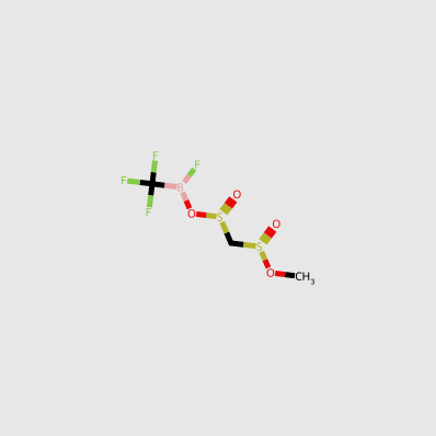 COS(=O)CS(=O)OB(F)C(F)(F)F